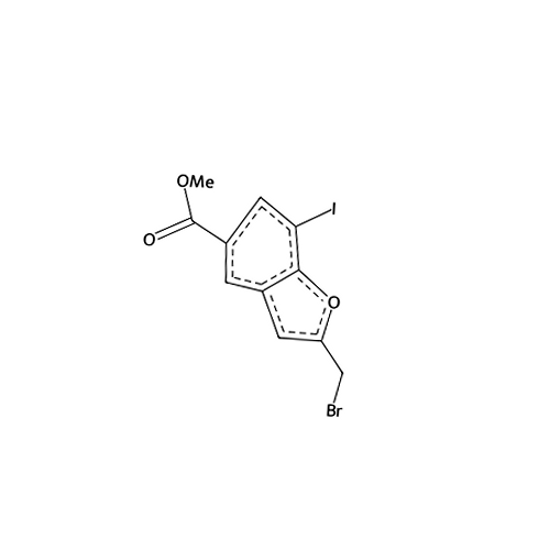 COC(=O)c1cc(I)c2oc(CBr)cc2c1